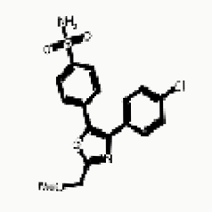 COCc1nc(-c2ccc(Cl)cc2)c(-c2ccc(S(N)(=O)=O)cc2)o1